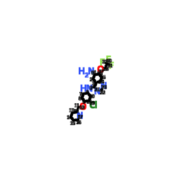 Nc1cc2c(Nc3ccc(OCc4ccccn4)c(Cl)c3)ncnc2cc1OCC(F)(F)F